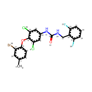 Cc1ccc(Oc2c(Cl)cc(NC(=O)NCc3c(F)cccc3F)cc2Cl)c(Br)c1